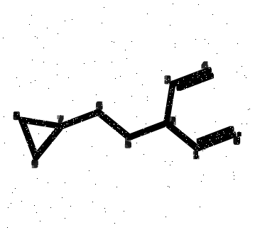 [CH]=CC(C=C)CCC1CC1